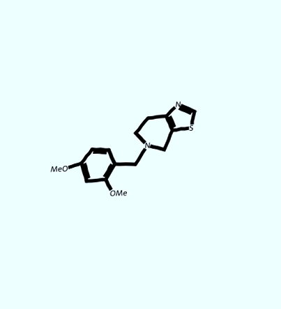 COc1ccc(CN2CCc3n[c]sc3C2)c(OC)c1